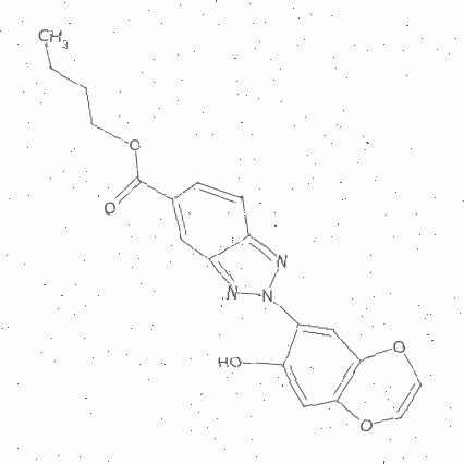 CCCCOC(=O)c1ccc2nn(-c3cc4c(cc3O)OC=CO4)nc2c1